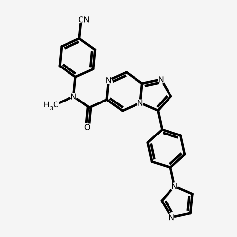 CN(C(=O)c1cn2c(-c3ccc(-n4ccnc4)cc3)cnc2cn1)c1ccc(C#N)cc1